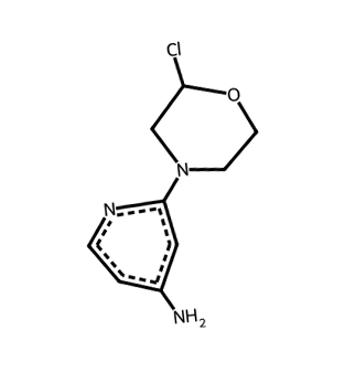 Nc1ccnc(N2CCOC(Cl)C2)c1